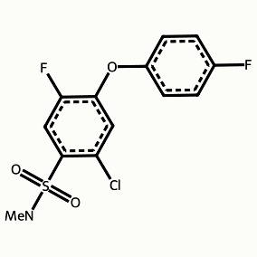 CNS(=O)(=O)c1cc(F)c(Oc2ccc(F)cc2)cc1Cl